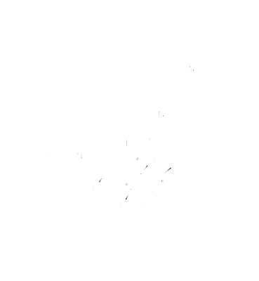 CCOC(=O)N1CC[C@@H]2[C@H](C[C@H]3C(=O)O[C@H](C)[C@H]3[C@H]2/C=C/c2ccc(-c3nccs3)cn2)C1